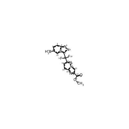 Bc1ccc2nnc(C(F)(F)c3ccc4nc(C(=O)OC)cn4n3)n2c1